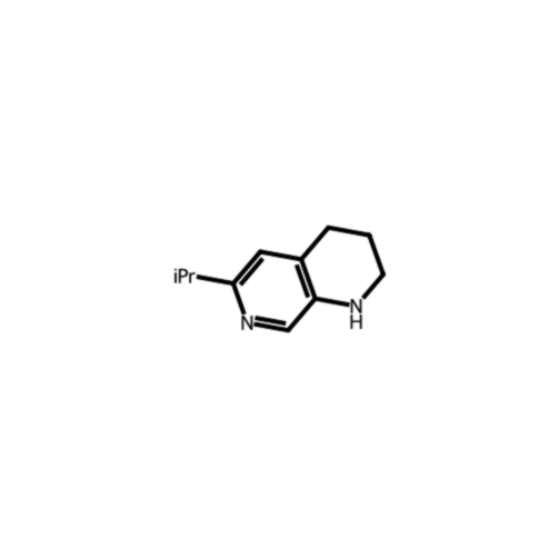 CC(C)c1cc2c(cn1)NCCC2